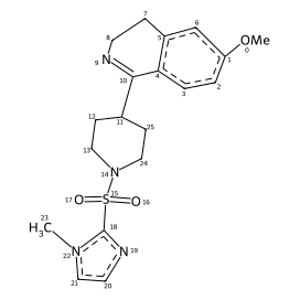 COc1ccc2c(c1)CCN=C2C1CCN(S(=O)(=O)c2nccn2C)CC1